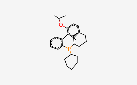 Cc1cccc(OC(C)C)c1-c1ccccc1P(C1CCCCC1)C1CCCCC1